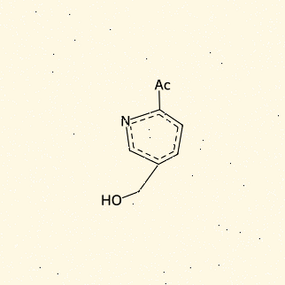 CC(=O)c1ccc(CO)cn1